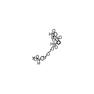 CC(C)(C)OC(=O)NC1CCN(CCOCCCOCC(=O)Nc2cccc3c2C(=O)N(C2CCC(=O)NC2=O)C3=O)CC1